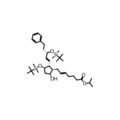 CC(C)OC(=O)CCCC=CC[C@@H]1[C@@H](C=C[C@H](CCc2ccccc2)O[Si](C)(C)C(C)(C)C)[C@H](O[Si](C)(C)C(C)(C)C)C[C@@H]1O